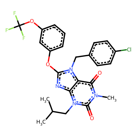 CC(C)Cn1c(=O)n(C)c(=O)c2c1nc(Oc1cccc(OC(F)(F)F)c1)n2Cc1ccc(Cl)cc1